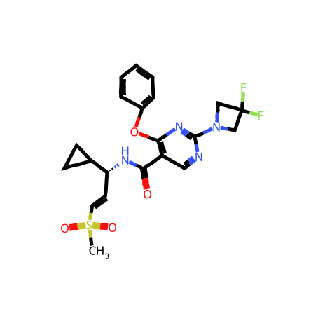 CS(=O)(=O)/C=C/[C@@H](NC(=O)c1cnc(N2CC(F)(F)C2)nc1Oc1ccccc1)C1CC1